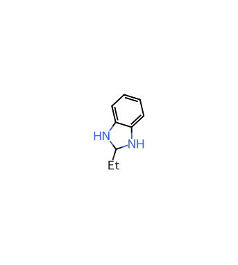 CCC1Nc2ccccc2N1